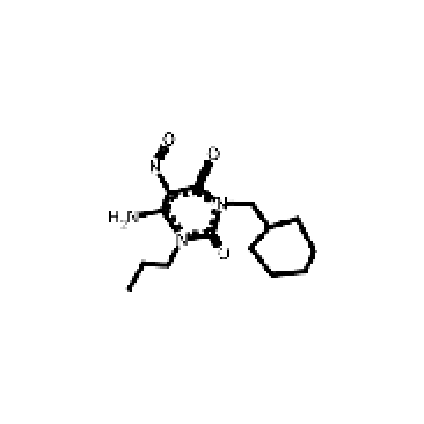 CCCn1c(N)c(N=O)c(=O)n(CC2CCCCC2)c1=O